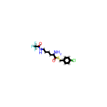 NC(CCCCNC(=O)C(F)(F)F)C(=O)SCc1ccc(Cl)cc1